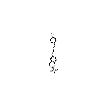 CS(=O)(=O)N1CCc2cc(OCCCc3ccc(O)cc3)ccc2C1